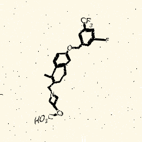 CC1=C(CN2CC(OC(=O)O)C2)CCc2cc(OCc3cc(F)cc(C(F)(F)F)c3)ccc21